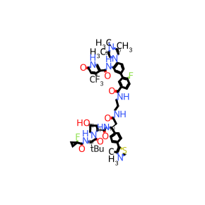 Cc1ncsc1-c1ccc([C@H](CC(=O)NCCCNC(=O)c2ccc(F)c(-c3ccc(N4C[C@@H](C)N(C)[C@@H](C)C4)c(NC(=O)c4c[nH]c(=O)cc4C(F)(F)F)c3)c2)NC(=O)[C@@H]2C[C@@H](O)CN2C(=O)[C@@H](NC(=O)C2(F)CC2)C(C)(C)C)cc1